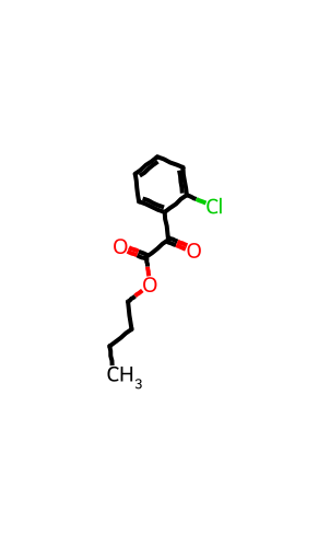 CCCCOC(=O)C(=O)c1ccccc1Cl